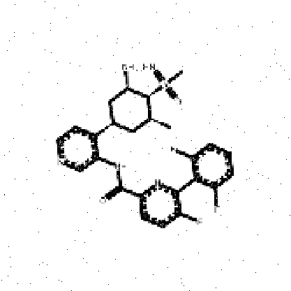 C[C@H]1C[C@@H](c2ccncc2NC(=O)c2ccc(F)c(-c3c(F)cccc3F)n2)C[C@@H](N)[C@H]1S(C)(=N)=O